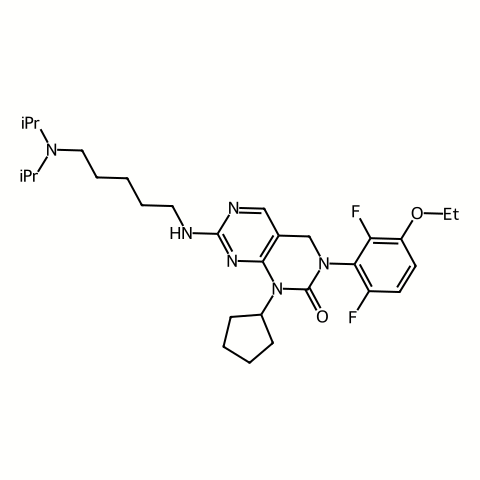 CCOc1ccc(F)c(N2Cc3cnc(NCCCCCN(C(C)C)C(C)C)nc3N(C3CCCC3)C2=O)c1F